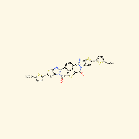 CCCCCCCCc1ccc(-c2cc3c(nc4c5ccc6c7c(sc(c(=O)n34)c57)c(=O)n3c4cc(-c5ccc(CCCCCCCC)s5)sc4nc63)s2)s1